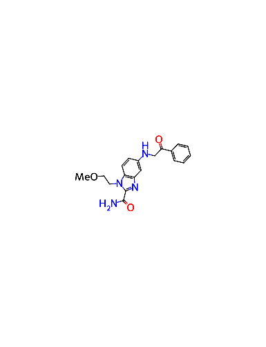 COCCn1c(C(N)=O)nc2cc(NCC(=O)c3ccccc3)ccc21